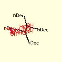 CCCCCCCCCCCCCCCCCCC(O)(CCCCCCCCCCCCCCCCCC)[C@H](O)[C@@H](O)[C@H](O)[C@H](O)C(O)(CCCCCCCCCCCCCCCCCC)CCCCCCCCCCCCCCCCCC.OP(O)OP(O)O